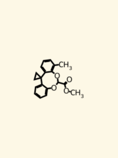 COC(=O)C1Oc2ccccc2C2(CC2)c2cccc(C)c2O1